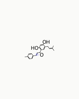 CC(C)=CCc1cc(C(=O)/C=C/c2ccc(C)cc2)c(O)cc1O